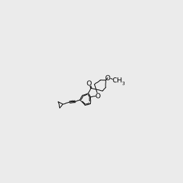 COC1CCC2(CC1)Oc1ccc(C#CC3CC3)cc1C2=O